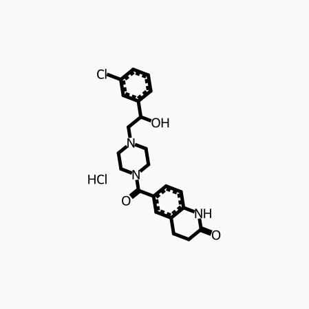 Cl.O=C1CCc2cc(C(=O)N3CCN(CC(O)c4cccc(Cl)c4)CC3)ccc2N1